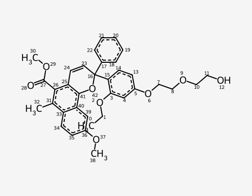 CCOc1cc(OCCOCCO)ccc1C1(c2ccccc2)C=Cc2c(C(=O)OC)c(C)c3ccc(OC)cc3c2O1